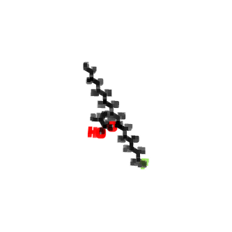 C=C(C)C(=O)O.CCCCCCCCCCCCCCCCCF